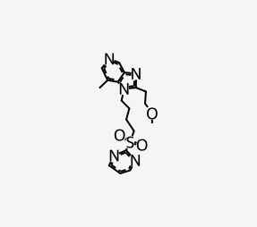 COCCc1nc2cncc(C)c2n1CCCCS(=O)(=O)c1ncccn1